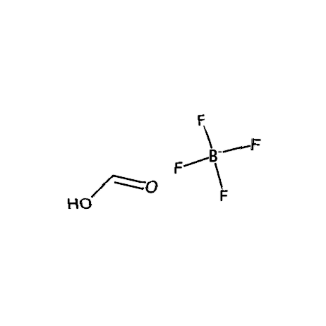 F[B-](F)(F)F.O=CO